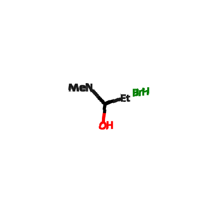 Br.CCC(O)NC